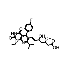 CCn1c(=O)[nH]c(=O)c2c(-c3ccc(F)cc3)c(C=CC(O)CC(O)CC(=O)O)c(C(C)C)nc21